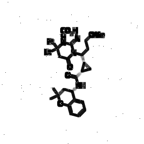 CCC1(CC)CC(=O)N(C(CCOC)[C@@H]2C[C@@H]2C(=O)N[C@H]2CC(C)(C)Oc3ccccc32)C(=NC(=O)O)N1